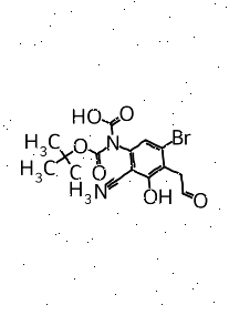 CC(C)(C)OC(=O)N(C(=O)O)c1cc(Br)c(CC=O)c(O)c1C#N